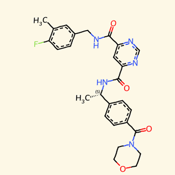 Cc1cc(CNC(=O)c2cc(C(=O)N[C@@H](C)c3ccc(C(=O)N4CCOCC4)cc3)ncn2)ccc1F